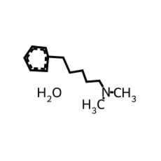 CN(C)CCCCCc1ccccc1.O